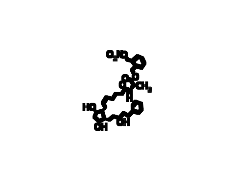 CC(NC(=O)CCC/C=C\C[C@@H]1[C@@H](CC[C@@H](O)CCc2ccccc2)[C@H](O)C[C@@H]1O)C(=O)OCc1ccccc1CO[N+](=O)[O-]